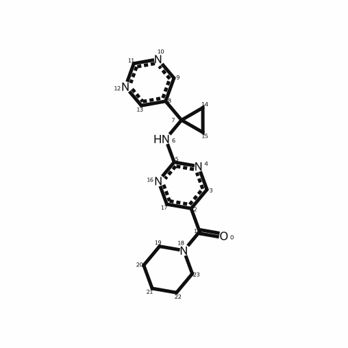 O=C(c1cnc(NC2(c3cncnc3)CC2)nc1)N1CCCCC1